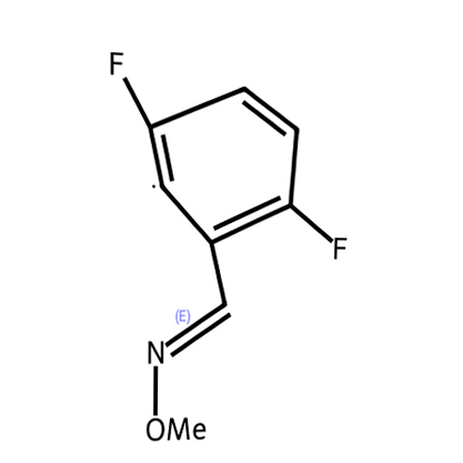 CO/N=C/c1[c]c(F)ccc1F